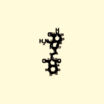 Nc1nc(CCN2C(=O)c3ccccc3C2=O)cc2cc[nH]c(=O)c12